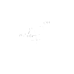 CC(C)(C)[C@]1(NC(=O)O)CC[C@H](O)CC1